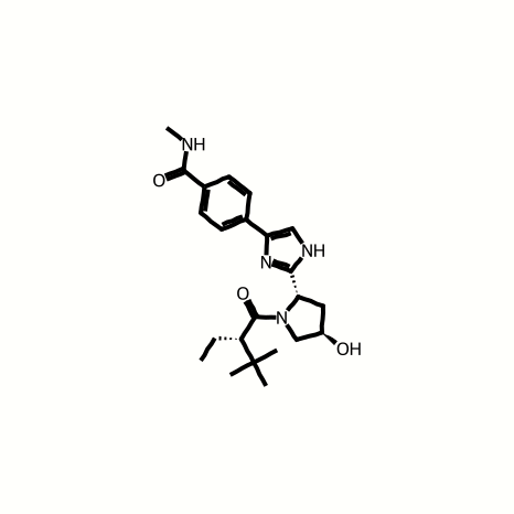 CC[C@H](C(=O)N1C[C@H](O)C[C@H]1c1nc(-c2ccc(C(=O)NC)cc2)c[nH]1)C(C)(C)C